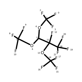 FC(F)(F)OC(OC(F)(F)F)C(F)(OC(F)(F)F)C(F)(F)F